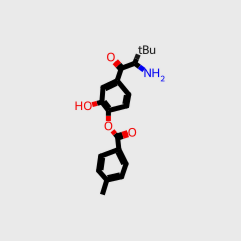 Cc1ccc(C(=O)Oc2ccc(C(=O)C(N)C(C)(C)C)cc2O)cc1